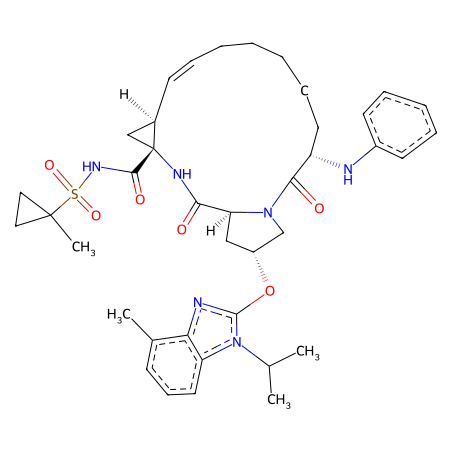 Cc1cccc2c1nc(O[C@@H]1C[C@H]3C(=O)N[C@]4(C(=O)NS(=O)(=O)C5(C)CC5)C[C@H]4/C=C\CCCCC[C@H](Nc4ccccc4)C(=O)N3C1)n2C(C)C